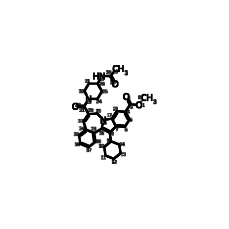 COC(=O)c1ccc2c(C3CCCCC3)c3n(c2c1)CC(C(=O)N1CCC(NC(C)=O)CC1)=Cc1ccccc1-3